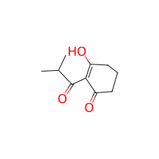 CC(C)C(=O)C1=C(O)CCCC1=O